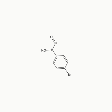 O=NB(O)c1ccc(Br)cc1